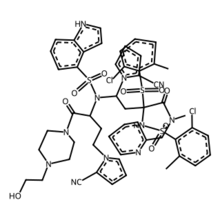 Cc1cccc(Cl)c1S(=O)(=O)NC(CC(N(C(CCn1cccc1C#N)C(=O)N1CCN(CCO)CC1)S(=O)(=O)c1cccc2[nH]ccc12)n1cccc1C#N)(C(=O)N(C)Cc1ccccn1)S(=O)(=O)c1c(C)cccc1Cl